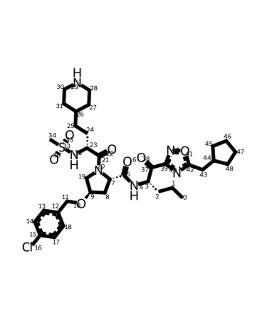 CCC[C@H](NC(=O)[C@@H]1C[C@@H](OCc2ccc(Cl)cc2)CN1C(=O)[C@@H](CCC1CCNCC1)NS(C)(=O)=O)C(=O)c1noc(CC2CCCC2)n1